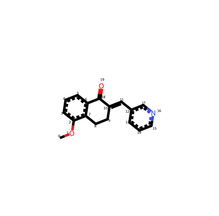 COc1cccc2c1CCC(=Cc1cccnc1)C2=O